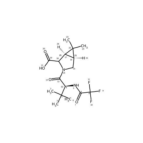 CC(C)(C)[C@H](NC(=O)C(F)(F)F)C(=O)N1C[C@H]2[C@@H](C1C(=O)O)C2(C)C